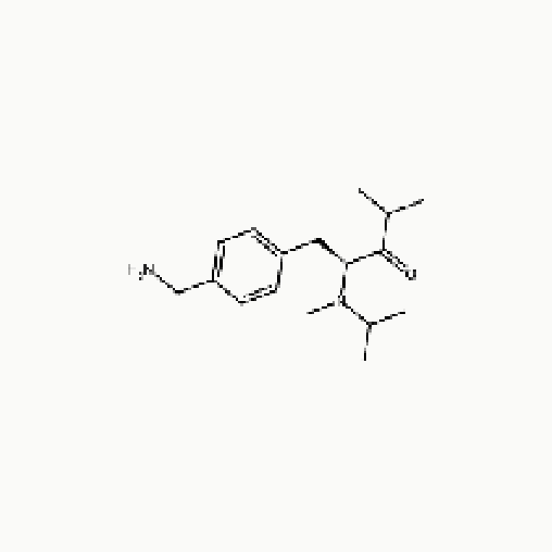 CC(C)C(=O)[C@H](Cc1ccc(CN)cc1)N(C)C(C)C